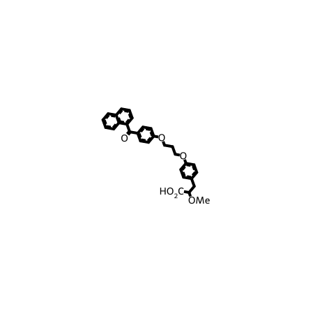 COC(Cc1ccc(OCCCOc2ccc(C(=O)c3cccc4ccccc34)cc2)cc1)C(=O)O